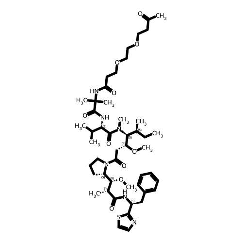 CC[C@H](C)[C@@H]([C@@H](CC(=O)N1CCC[C@H]1[C@H](OC)[C@@H](C)C(=O)N[C@@H](Cc1ccccc1)c1nccs1)OC)N(C)C(=O)[C@@H](NC(=O)C(C)(C)NC(=O)CCOCCOCCC(C)=O)C(C)C